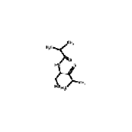 CC(C)C(=O)NC(CO)C(=O)C(C)C